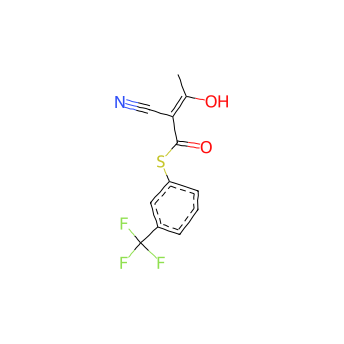 C/C(O)=C(\C#N)C(=O)Sc1cccc(C(F)(F)F)c1